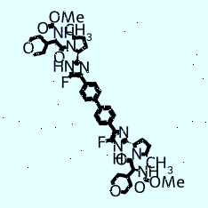 COC(=O)N[C@H](C(=O)N1[C@@H](C)CC[C@H]1c1nc(-c2ccc(-c3ccc(-c4nc([C@@H]5CC[C@H](C)N5C(=O)[C@@H](NC(=O)OC)C5CCOCC5)[nH]c4F)cc3)cc2)c(F)[nH]1)C1CCOCC1